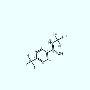 CC(C)(C)c1ccc(C(O)=[SH]C(F)(F)F)cc1